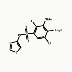 CCCCCCCc1c(Cl)cc(S(=O)(=O)Nc2cscn2)c(F)c1NC